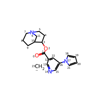 O=C(OC1CCN2CCCC1C2)c1cncc(-n2cccc2)c1.[CH2]